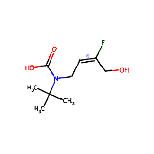 CC(C)(C)N(C/C=C(/F)CO)C(=O)O